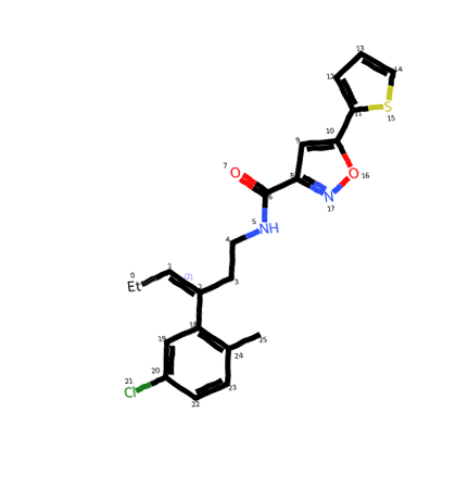 CC/C=C(/CCNC(=O)c1cc(-c2cccs2)on1)c1cc(Cl)ccc1C